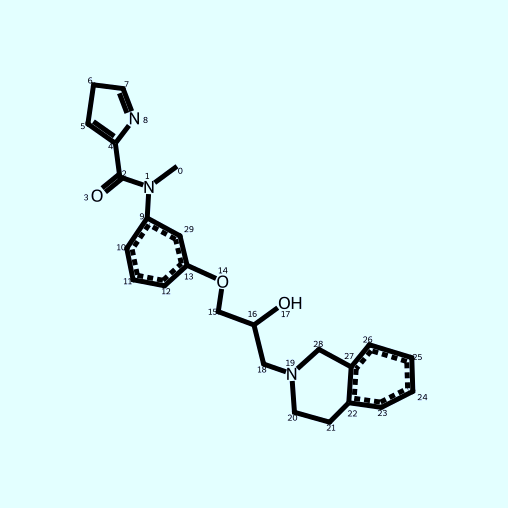 CN(C(=O)C1=CCC=N1)c1cccc(OCC(O)CN2CCc3ccccc3C2)c1